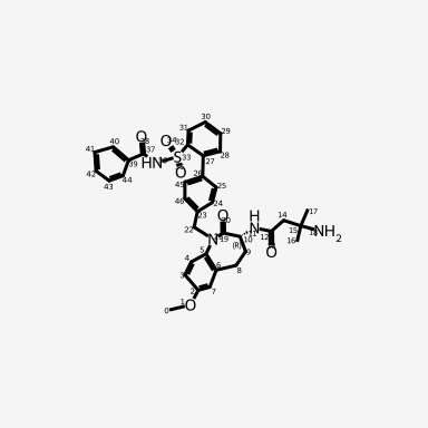 COc1ccc2c(c1)CC[C@@H](NC(=O)CC(C)(C)N)C(=O)N2Cc1ccc(-c2ccccc2S(=O)(=O)NC(=O)c2ccccc2)cc1